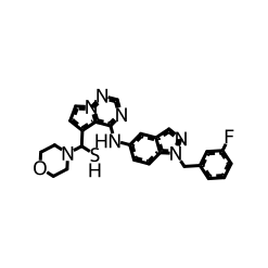 Fc1cccc(Cn2ncc3cc(Nc4ncnn5ccc(C(S)N6CCOCC6)c45)ccc32)c1